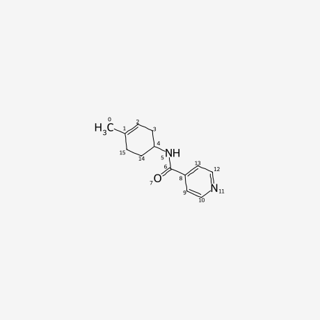 CC1=CCC(NC(=O)c2ccncc2)CC1